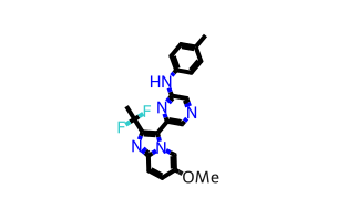 COc1ccc2nc(C(C)(F)F)c(-c3cncc(Nc4ccc(C)cc4)n3)n2c1